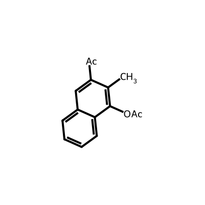 CC(=O)Oc1c(C)c(C(C)=O)cc2ccccc12